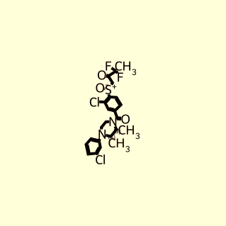 C[C@H]1[C@H](C)N(c2cccc(Cl)c2)CCN1C(=O)c1ccc([S+]([O-])CC(=O)C(C)(F)F)c(Cl)c1